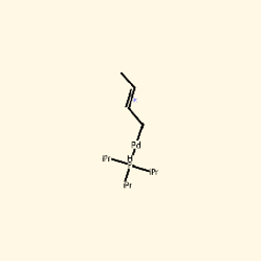 C/C=C/[CH2][Pd][PH](C(C)C)(C(C)C)C(C)C